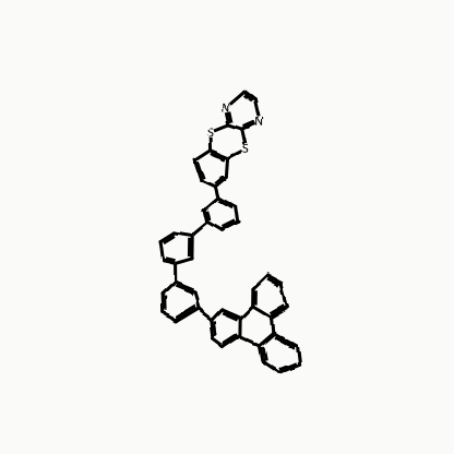 c1cc(-c2cccc(-c3ccc4c(c3)Sc3nccnc3S4)c2)cc(-c2cccc(-c3ccc4c5ccccc5c5ccccc5c4c3)c2)c1